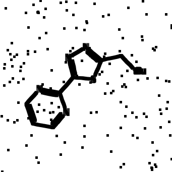 CC(C)(C)Cc1nnc(-c2ncccn2)s1